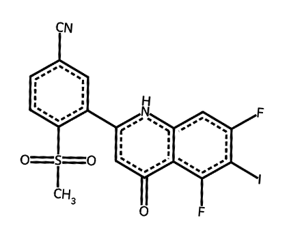 CS(=O)(=O)c1ccc(C#N)cc1-c1cc(=O)c2c(F)c(I)c(F)cc2[nH]1